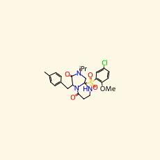 COc1ccc(Cl)cc1S(=O)(=O)C12CN(C(C)C)C(=O)C(Cc3ccc(C)cc3)N1C(=O)CCN2